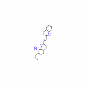 C=Nc1c(/C=C\C)ccc2ccc(/C=C/c3ccc4ccccc4n3)nc12